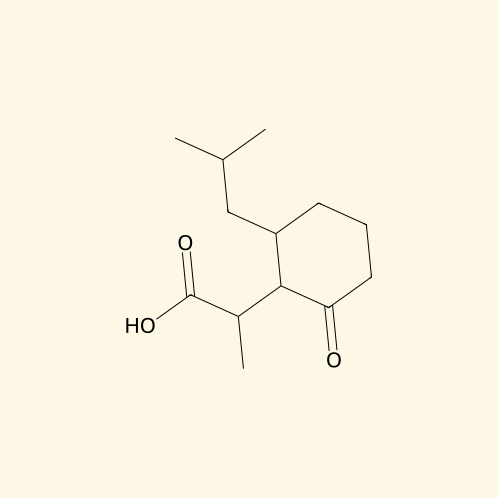 CC(C)CC1CCCC(=O)C1C(C)C(=O)O